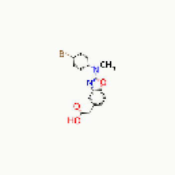 CN(c1ccc(Br)cc1)c1nc2cc(CC(=O)O)ccc2o1